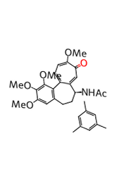 COc1cc2c(c(OC)c1OC)-c1ccc(OC)c(=O)cc1[C@@H](NC(C)=O)CC2.Cc1cc(C)cc(C)c1